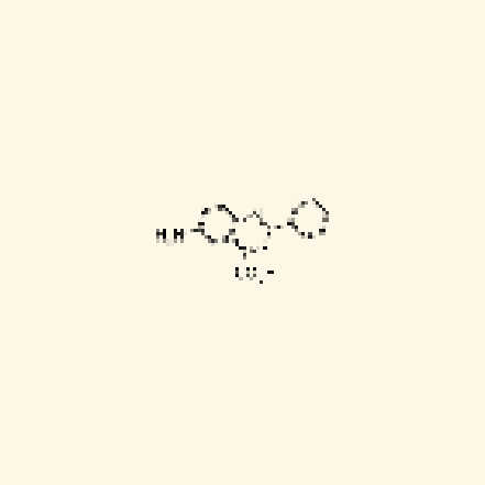 Nc1ccc2nc(-c3ccccc3)cc(C(=O)O)c2c1